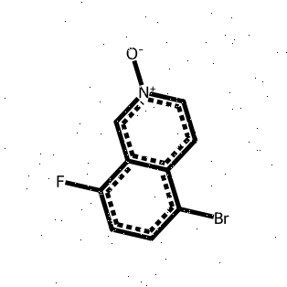 [O-][n+]1ccc2c(Br)ccc(F)c2c1